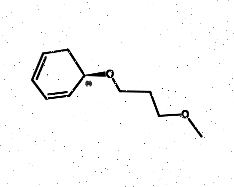 COCCCO[C@H]1C=CC=CC1